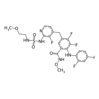 COCCNS(=O)(=O)Nc1nccc(Cc2cc(C(=O)NOC)c(Nc3ccc(I)cc3F)c(F)c2F)c1F